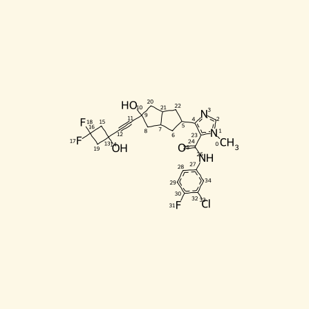 Cn1cnc(C2CC3CC(O)(C#CC4(O)CC(F)(F)C4)CC3C2)c1C(=O)Nc1ccc(F)c(Cl)c1